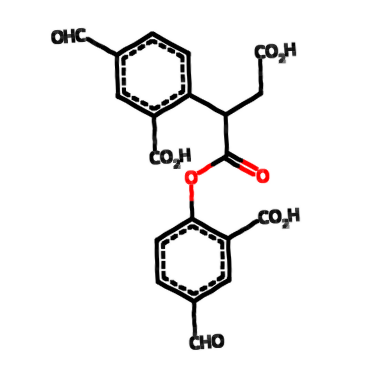 O=Cc1ccc(OC(=O)C(CC(=O)O)c2ccc(C=O)cc2C(=O)O)c(C(=O)O)c1